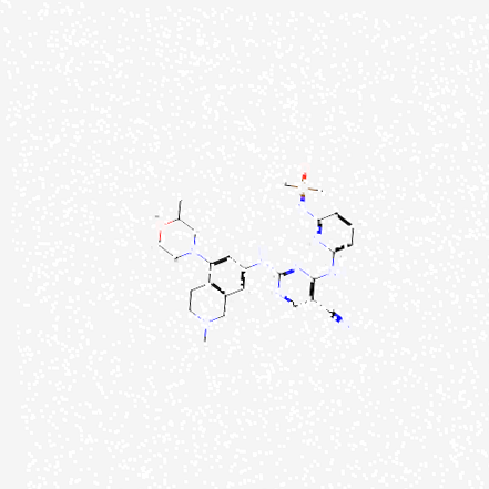 CC1CN(c2cc(Nc3ncc(C#N)c(Nc4cccc(N=S(C)(C)=O)n4)n3)cc3c2CCN(C)C3)CCO1